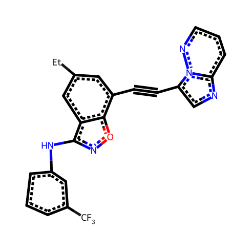 CCc1cc(C#Cc2cnc3cccnn23)c2onc(Nc3cccc(C(F)(F)F)c3)c2c1